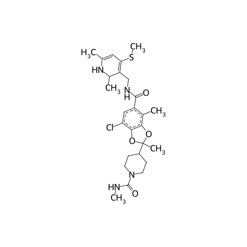 CNC(=O)N1CCC(C2(C)Oc3c(Cl)cc(C(=O)NCC4=C(SC)C=C(C)NC4C)c(C)c3O2)CC1